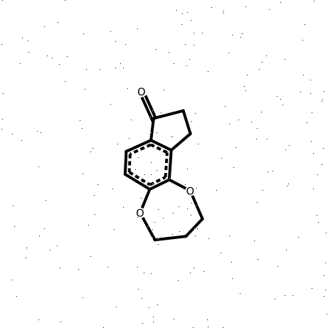 O=C1CCc2c1ccc1c2OCCCO1